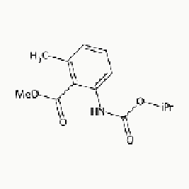 COC(=O)c1c(C)cccc1NC(=O)OC(C)C